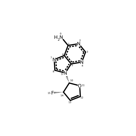 Nc1ncnc2c1ncn2[C@@H]1OC=C[C@@H]1F